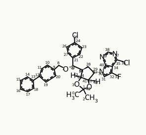 CC1(C)O[C@@H]2[C@@H]([C@H](OCc3ccc(-c4ccccc4)cc3)c3ccc(Cl)cc3)C[C@H](n3cc(F)c4c(Cl)ncnc43)[C@@H]2O1